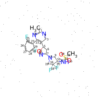 Cc1ncc(C2CC(N3C[C@@H](NS(C)(=O)=O)C(F)(F)C3)=NO2)c(-c2c(F)cccc2F)n1